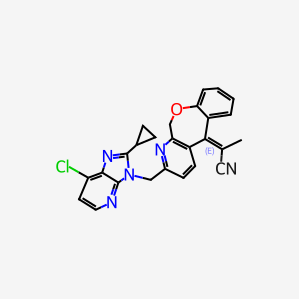 C/C(C#N)=C1\c2ccccc2OCc2nc(Cn3c(C4CC4)nc4c(Cl)ccnc43)ccc21